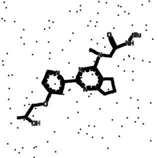 CC(O)COc1ccnc(-c2nc3c(c(N(C)CC(=O)NC(C)(C)C)n2)CCC3)c1